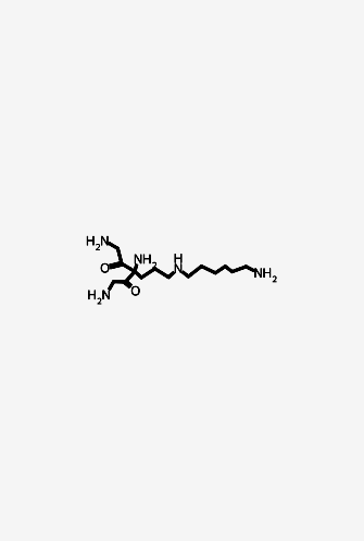 NCCCCCCNCCCC(N)(C(=O)CN)C(=O)CN